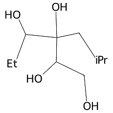 CCC(O)C(O)(CC(C)C)C(O)CO